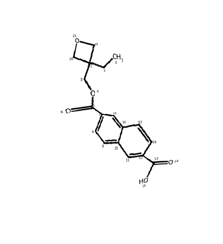 CCC1(COC(=O)c2ccc3cc(C(=O)O)ccc3c2)COC1